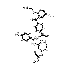 COCOc1ccc(C)cc1C(=S)c1ccc(C(=O)O[C@@H]2CCCN(OC(=O)OC(C)(C)C)C[C@H]2NC(=O)c2ccc(O)cc2)cc1